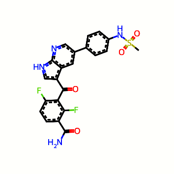 CS(=O)(=O)Nc1ccc(-c2cnc3[nH]cc(C(=O)c4c(F)ccc(C(N)=O)c4F)c3c2)cc1